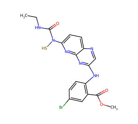 CCNC(=O)N(S)c1ccc2ncc(Nc3ccc(Br)cc3C(=O)OC)nc2n1